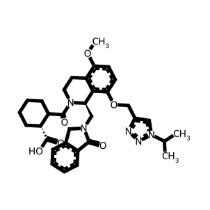 COc1ccc(OCc2cn(C(C)C)nn2)c2c1CCN(C(=O)C1CCCC[C@H]1C(=O)O)[C@@H]2CN1Cc2ccccc2C1=O